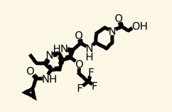 CCc1nc2[nH]c(C(=O)NC3CCN(C(=O)CO)CC3)c(OCC(F)(F)F)c2cc1NC(=O)C1CC1